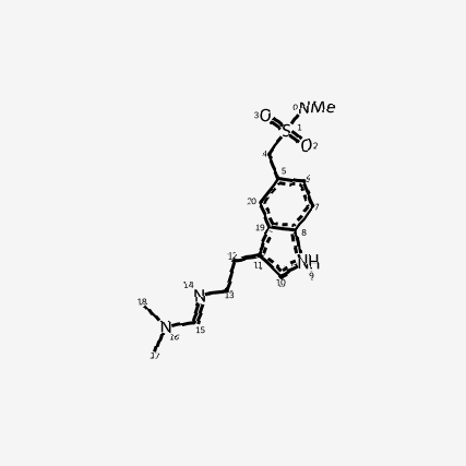 CNS(=O)(=O)Cc1ccc2[nH]cc(CCN=CN(C)C)c2c1